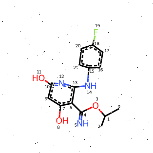 CC(C)OC(=N)c1c(O)cc(O)nc1Nc1ccc(F)cc1